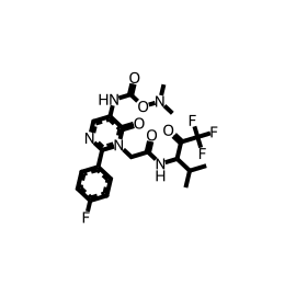 CC(C)C(NC(=O)Cn1c(-c2ccc(F)cc2)ncc(NC(=O)ON(C)C)c1=O)C(=O)C(F)(F)F